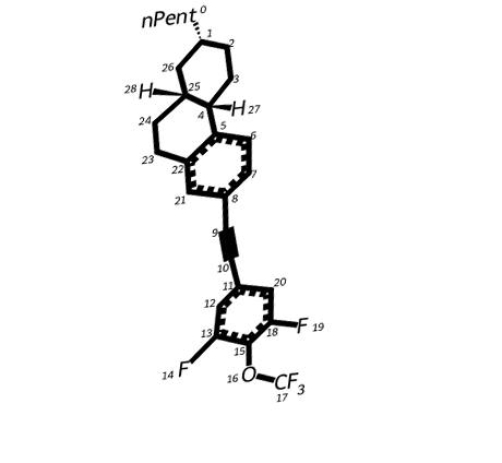 CCCCC[C@@H]1CC[C@@H]2c3ccc(C#Cc4cc(F)c(OC(F)(F)F)c(F)c4)cc3CC[C@@H]2C1